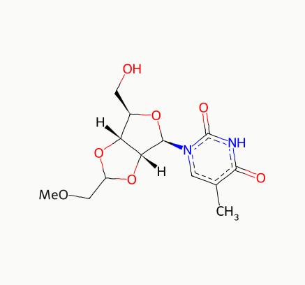 COCC1O[C@@H]2[C@H](O1)[C@@H](CO)O[C@H]2n1cc(C)c(=O)[nH]c1=O